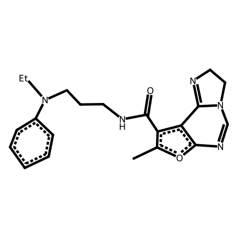 CCN(CCCNC(=O)c1c(C)oc2c1C1=NCCN1C=N2)c1ccccc1